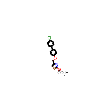 O=C(O)Oc1nc(COc2ccc(-c3ccc(Cl)cc3)cc2)cs1